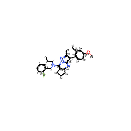 CCCN(Cc1ccccc1F)c1c2c(nc3c(-c4ccc(OC)cc4C)c(C)nn13)CCC2